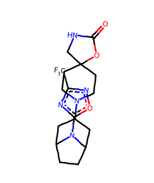 O=C1NCC2(CCN(C3CC4CCC(C3)N4c3nc(C(F)(F)F)no3)CC2)O1